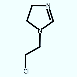 ClCCN1C=NCC1